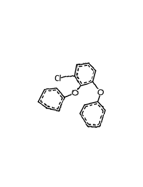 Clc1cccc(Oc2ccccc2)c1Oc1ccccc1